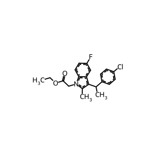 CCOC(=O)Cn1c(C)c(C(C)c2ccc(Cl)cc2)c2cc(F)ccc21